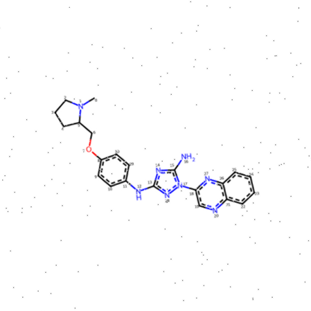 CN1CCCC1COc1ccc(Nc2nc(N)n(-c3cnc4ccccc4n3)n2)cc1